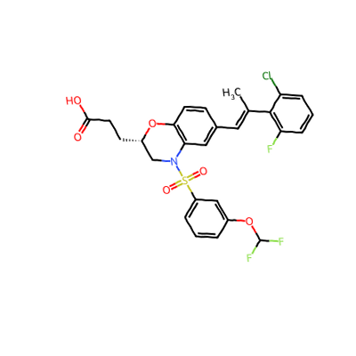 C/C(=C\c1ccc2c(c1)N(S(=O)(=O)c1cccc(OC(F)F)c1)C[C@H](CCC(=O)O)O2)c1c(F)cccc1Cl